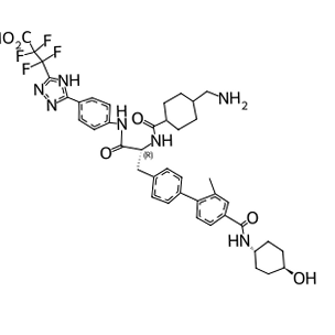 Cc1cc(C(=O)N[C@H]2CC[C@H](O)CC2)ccc1-c1ccc(C[C@@H](NC(=O)C2CCC(CN)CC2)C(=O)Nc2ccc(-c3nnc(C(F)(F)C(F)(F)C(=O)O)[nH]3)cc2)cc1